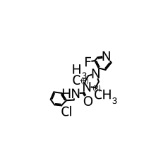 C[C@@H]1CN(c2ccncc2F)C[C@@H](C)N1C(=O)NCc1ccccc1Cl